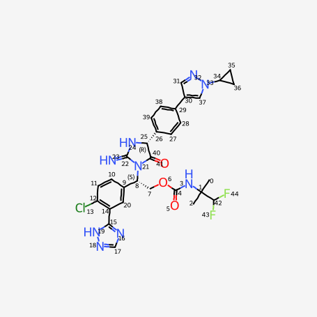 CC(C)(NC(=O)OC[C@H](c1ccc(Cl)c(-c2ncn[nH]2)c1)N1C(=N)N[C@H](c2ccc(-c3cnn(C4CC4)c3)cc2)C1=O)C(F)F